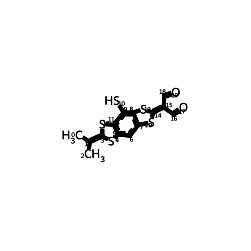 CC(C)=C1Sc2cc3c(c(S)c2S1)SC(=C(C=O)C=O)S3